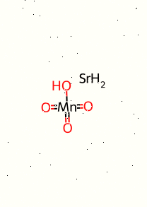 [O]=[Mn](=[O])(=[O])[OH].[SrH2]